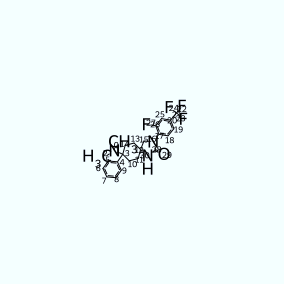 CN(C)C1(c2ccccc2)CCC2(CC1)CN(c1ccc(C(F)(F)F)cc1F)C(=O)N2